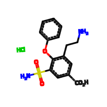 Cl.NCCc1cc(C(=O)O)cc(S(N)(=O)=O)c1Oc1ccccc1